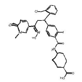 Cn1cc(C(CC(c2ccc(C(=O)NC3CCC(C(=O)O)CC3)c(F)c2)c2ccccc2Cl)=NO)ccc1=O